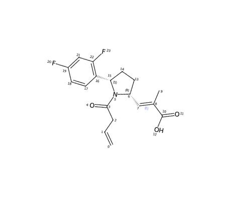 C=CCC(=O)N1[C@@H](/C=C(\C)C(=O)O)CC[C@H]1c1ccc(F)cc1F